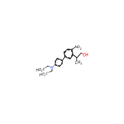 CC(CO)c1cc(-c2ccc(N(CC(=O)O)CC(=O)O)cc2)ccc1[N+](=O)[O-]